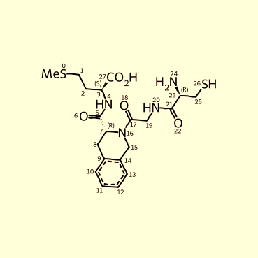 CSCC[C@H](NC(=O)[C@H]1Cc2ccccc2CN1C(=O)CNC(=O)[C@@H](N)CS)C(=O)O